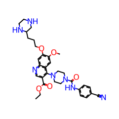 CCOC(=O)c1cnc2cc(OCCCC3CNCCN3)c(OC)cc2c1N1CCN(C(=O)Nc2ccc(C#N)cc2)CC1